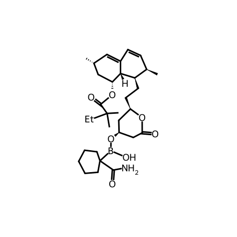 CCC(C)(C)C(=O)O[C@@H]1C[C@H](C)C=C2C=C[C@@H](C)[C@@H](CC[C@@H]3C[C@H](OB(O)C4(C(N)=O)CCCCC4)CC(=O)O3)[C@@H]21